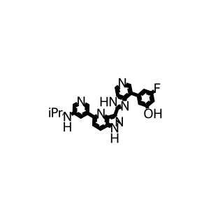 CC(C)Nc1cncc(-c2ccc3[nH]nc(-c4nc5c(-c6cc(O)cc(F)c6)cncc5[nH]4)c3n2)c1